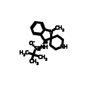 CN1c2ccccc2[C@@H](N[S@+]([O-])C(C)(C)C)C12CCNCC2